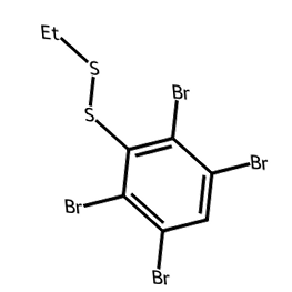 CCSSc1c(Br)c(Br)cc(Br)c1Br